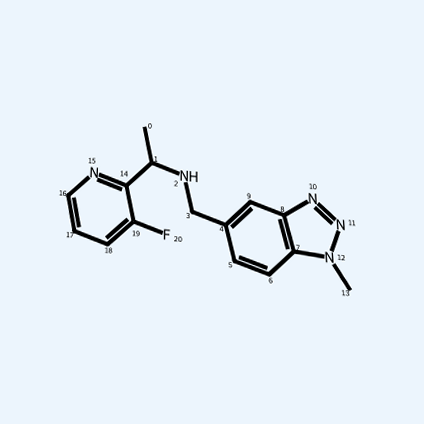 CC(NCc1ccc2c(c1)nnn2C)c1ncccc1F